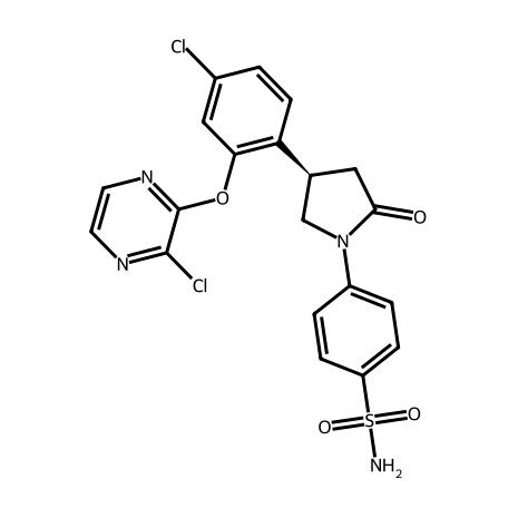 NS(=O)(=O)c1ccc(N2C[C@@H](c3ccc(Cl)cc3Oc3nccnc3Cl)CC2=O)cc1